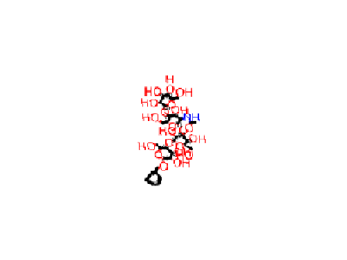 CC(=O)NC1[C@H](O[C@@H]2C(O)[C@H](O[C@@H]3C(CO)O[C@@H](OCc4ccccc4)C(O)[C@H]3O)OC(CO)[C@@H]2O)OC(CO)[C@@H](O[C@@H]2OC(CO)[C@H](O)[C@H](O)C2O)[C@@H]1O